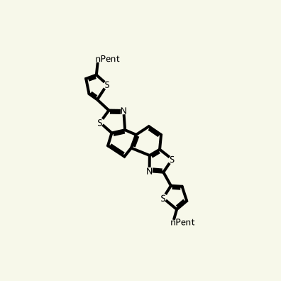 CCCCCc1ccc(-c2nc3c(ccc4c3ccc3sc(-c5ccc(CCCCC)s5)nc34)s2)s1